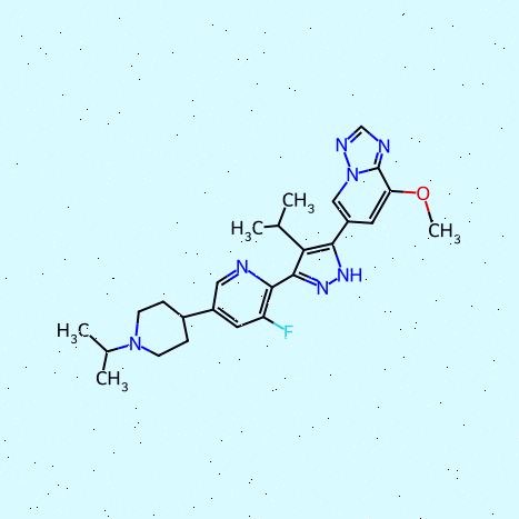 COc1cc(-c2[nH]nc(-c3ncc(C4CCN(C(C)C)CC4)cc3F)c2C(C)C)cn2ncnc12